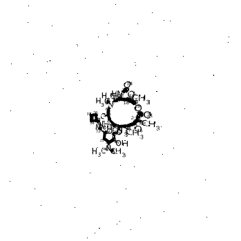 CO[C@]1(C)C[C@@H](C)CN(C)[C@H](C)[C@H]2NC(=O)O[C@]2(C)COC(=O)C(C)C(=O)[C@H](C)[C@H]1O[C@@H]1O[C@H](CNC2CCC2)C[C@H](N(C)C)[C@H]1O